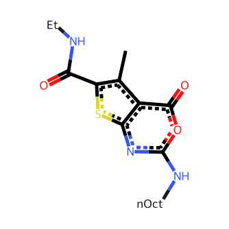 CCCCCCCCNc1nc2sc(C(=O)NCC)c(C)c2c(=O)o1